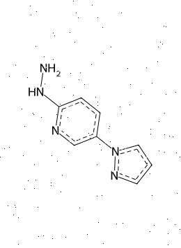 NNc1ccc(-n2cccn2)cn1